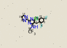 Fc1cc(F)c(Cc2c(Cl)nc(-c3ncccn3)nc2NCC(F)(F)F)c(F)c1